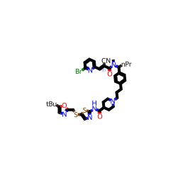 CCCC(c1ccc(CCCN2CCC(C(=O)Nc3ncc(SCc4ncc(C(C)(C)C)o4)s3)CC2)cc1)N(C)C(=O)/C(C#N)=C/c1cccc(Br)n1